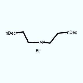 CCCCCCCCCCC[CH2][Al+][CH2]CCCCCCCCCCC.[Br-]